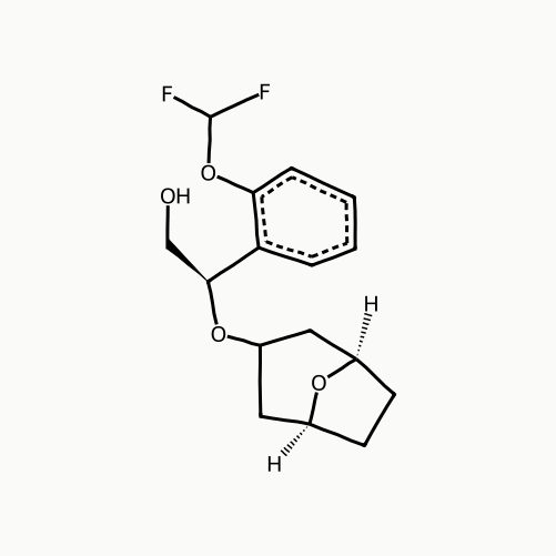 OC[C@H](OC1C[C@H]2CC[C@@H](C1)O2)c1ccccc1OC(F)F